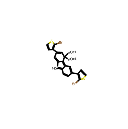 CCCCCCCCC1(CCCCCCCC)C=C(c2ccsc2Br)C=C2[SiH]=c3ccc(-c4ccsc4Br)cc3=C21